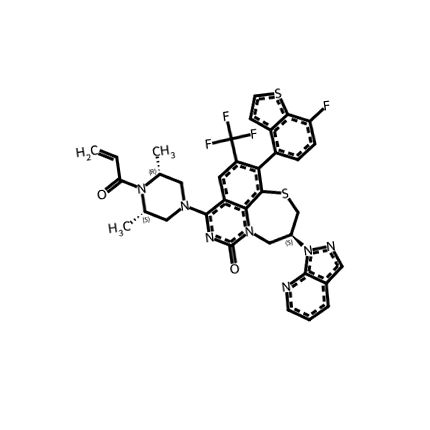 C=CC(=O)N1[C@H](C)CN(c2nc(=O)n3c4c(c(-c5ccc(F)c6sccc56)c(C(F)(F)F)cc24)SC[C@@H](n2ncc4cccnc42)C3)C[C@@H]1C